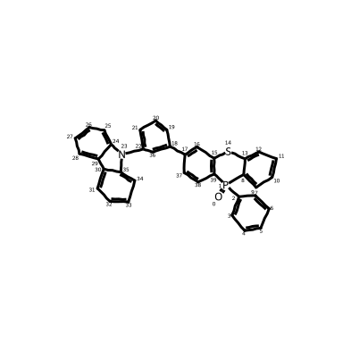 O=P1(c2ccccc2)c2ccccc2Sc2cc(-c3cccc(-n4c5ccccc5c5ccccc54)c3)ccc21